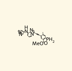 COC(=O)c1cc(C#Cc2cnc3c(Nc4cnn(C)c4)cccn23)c(C)cc1P